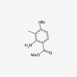 CCCCc1ccc(C(=O)OC)c(N)c1C